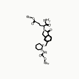 CC(C)(C)OC(=O)CCC(C(N)=O)N1Cc2cc(C[C@H]3CCCC[C@@H]3NC(=O)OC(C)(C)C)ccc2C1=O